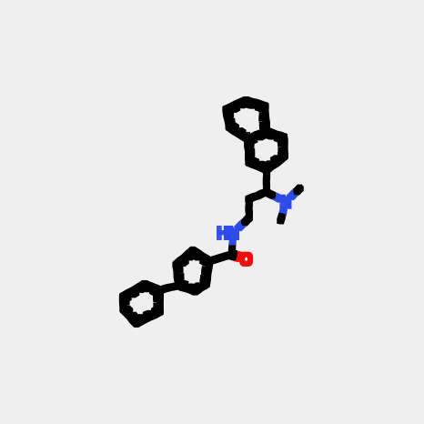 CN(C)C(CCNC(=O)c1ccc(-c2ccccc2)cc1)c1ccc2ccccc2c1